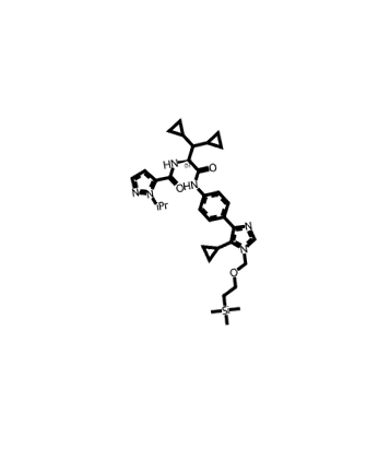 CC(C)n1nccc1C(=O)N[C@H](C(=O)Nc1ccc(-c2ncn(COCC[Si](C)(C)C)c2C2CC2)cc1)C(C1CC1)C1CC1